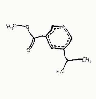 COC(=O)c1cncc(C(C)C)c1